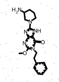 COc1nc2nc(N3CCCC(N)C3)[nH]c2c(=O)n1CCc1ccccc1